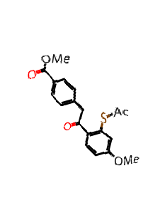 COC(=O)c1ccc(CC(=O)c2ccc(OC)cc2SC(C)=O)cc1